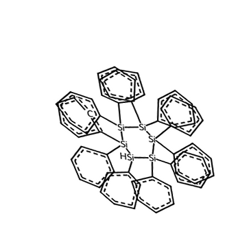 c1ccc([SiH]2[Si](c3ccccc3)(c3ccccc3)[Si](c3ccccc3)(c3ccccc3)[Si](c3ccccc3)(c3ccccc3)[Si](c3ccccc3)(c3ccccc3)[Si]2(c2ccccc2)c2ccccc2)cc1